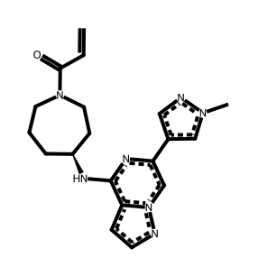 C=CC(=O)N1CCC[C@H](Nc2nc(-c3cnn(C)c3)cn3nccc23)CC1